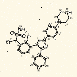 CCC(c1cccc(-c2cn(-c3ccc(N4CCNCC4)nc3)nc2-c2ccncc2)c1F)S(N)(=O)=O